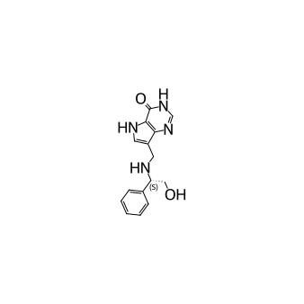 O=c1[nH]cnc2c(CN[C@H](CO)c3ccccc3)c[nH]c12